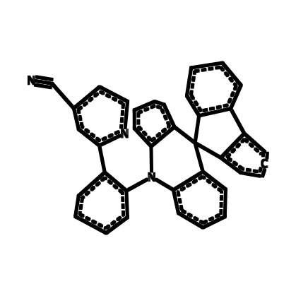 N#Cc1ccnc(-c2ccccc2N2c3ccccc3C3(c4ccccc4-c4ccccc43)c3ccccc32)c1